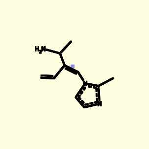 C=C/C(=C\n1ccnc1C)C(C)N